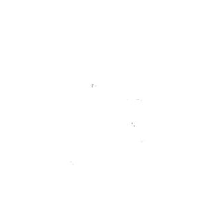 CSNc1cc(-c2cc(C)c(=O)n(C)c2)cc(NCc2ccc(F)cc2)c1C(=N)F